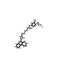 FC(F)(F)Oc1ccc(CNCCCCOC2CN(c3nc4ccccc4c4cnccc34)C2)cc1Cl